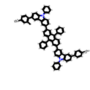 Cc1cc(C(C)(C)C)ccc1-c1ccc2c(c1)c1cc(-c3ccc4c(-c5ccccc5)c5cc(-c6ccc7c(c6)c6cc(-c8ccc(C(C)(C)C)cc8)ccc6n7-c6ccccc6)ccc5c(-c5ccccc5)c4c3)ccc1n2-c1ccccc1